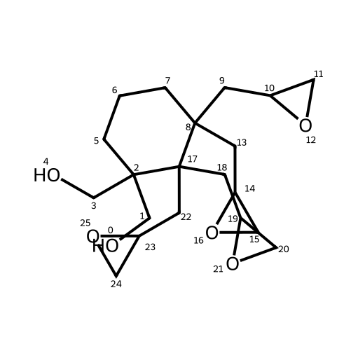 OCC1(CO)CCCC(CC2CO2)(CC2CO2)C1(CC1CO1)CC1CO1